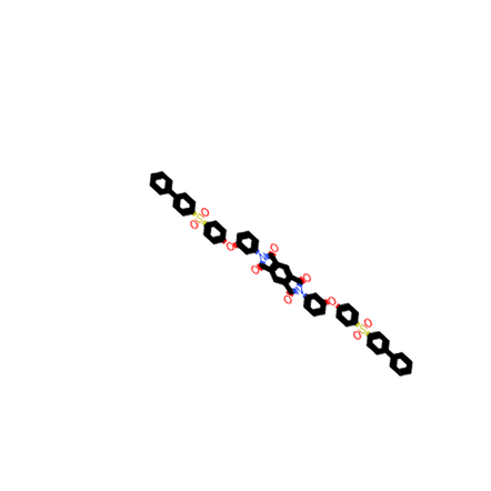 O=c1c2cc3c(=O)n(-c4cccc(Oc5ccc(S(=O)(=O)c6ccc(-c7ccccc7)cc6)cc5)c4)c(=O)c3cc2c(=O)n1-c1cccc(Oc2ccc(S(=O)(=O)c3ccc(-c4ccccc4)cc3)cc2)c1